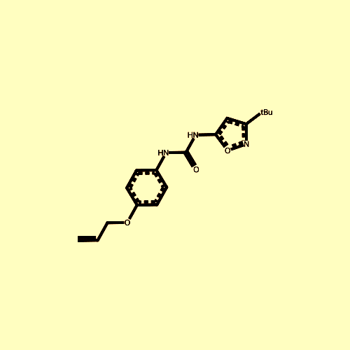 C=CCOc1ccc(NC(=O)Nc2cc(C(C)(C)C)no2)cc1